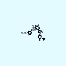 COc1cc(CNC(=O)c2cc(C3=NOC(c4ccc(=O)n(C5CC5)c4)C3)nc(C)n2)ccc1F